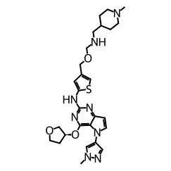 CN1CCC(CNCOCc2csc(Nc3nc(O[C@H]4CCOC4)c4c(ccn4-c4cnn(C)c4)n3)c2)CC1